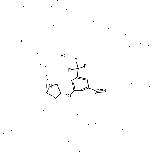 Cl.N#Cc1cc(O[C@@H]2CCNC2)nc(C(F)(F)F)c1